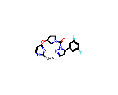 CC(=O)Nc1nccc(OC2CCN(C(=O)N3N=CCC3c3cc(F)cc(F)c3)C2)n1